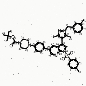 Cc1ccc(S(=O)(=O)n2cc(-c3c(C)nn(Cc4cccc(C)c4)c3C)c3cc(-c4ccc(N5CCN(C(=O)OC(C)(C)C)CC5)cc4)cnc32)cc1